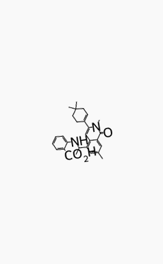 Cc1cc(C(C)Nc2ccccc2C(=O)O)c2cc(C3=CCC(C)(C)CC3)n(C)c(=O)c2c1